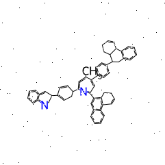 CC1=C=C(C2C=CC(C3C=c4ccccc4=NC3)=CC2)N=C(c2cc3ccccc3c3c2CCC=C3)C=C1c1ccc(C2Cc3ccccc3C3C=CCCC32)cc1